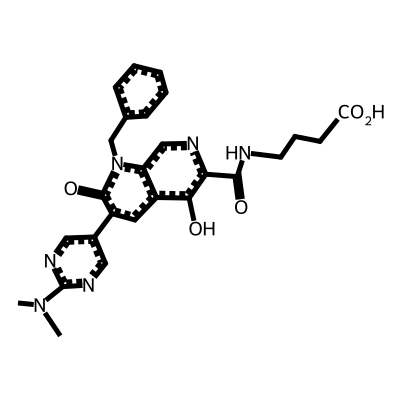 CN(C)c1ncc(-c2cc3c(O)c(C(=O)NCCCC(=O)O)ncc3n(Cc3ccccc3)c2=O)cn1